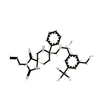 C=CCN1C(=O)N[C@@]2(CC[C@@](CO[C@H](C)c3cc(CF)cc(C(F)(F)F)c3)(c3ccccc3)NC2)C1=O